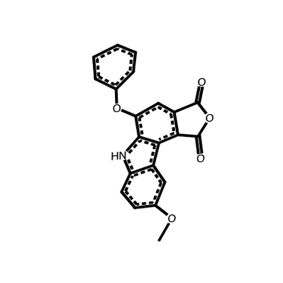 COc1ccc2[nH]c3c(Oc4ccccc4)cc4c(c3c2c1)C(=O)OC4=O